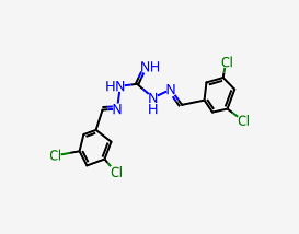 N=C(N/N=C/c1cc(Cl)cc(Cl)c1)N/N=C/c1cc(Cl)cc(Cl)c1